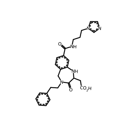 O=C(O)CC1Nc2cc(C(=O)NCCCn3ccnc3)ccc2CN(CCc2ccccc2)C1=O